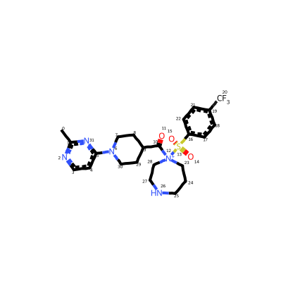 Cc1nccc(N2CCC(C(=O)[N+]3(S(=O)(=O)c4ccc(C(F)(F)F)cc4)CCCNCC3)CC2)n1